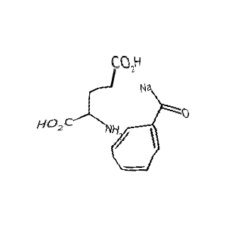 NC(CCC(=O)O)C(=O)O.O=[C]([Na])c1ccccc1